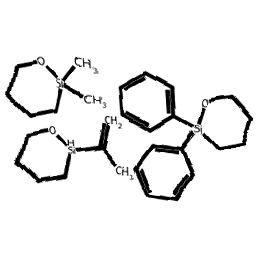 C=C(C)[SiH]1CCCCO1.C[Si]1(C)CCCCO1.c1ccc([Si]2(c3ccccc3)CCCCO2)cc1